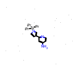 CC(C)[Si](C(C)C)(C(C)C)n1ccc(-c2cc(N)ccn2)c1